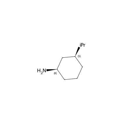 CC(C)[C@H]1CCC[C@@H](N)C1